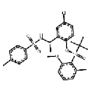 COc1cccc(C)c1[P@](=O)(Oc1ccc(Cl)cc1[C@@H](C)NS(=O)(=O)c1ccc(C)cc1)C(C)(C)C